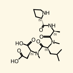 CC(C)C[C@@H](C(=O)N(C)[C@@H](CC(=O)O)C(=O)O)N(C)C(=O)[C@H](C)NC(=O)[C@@H]1CCCN1